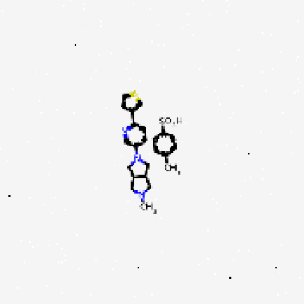 CN1CC2CN(c3ccc(-c4ccsc4)nc3)CC2C1.Cc1ccc(S(=O)(=O)O)cc1